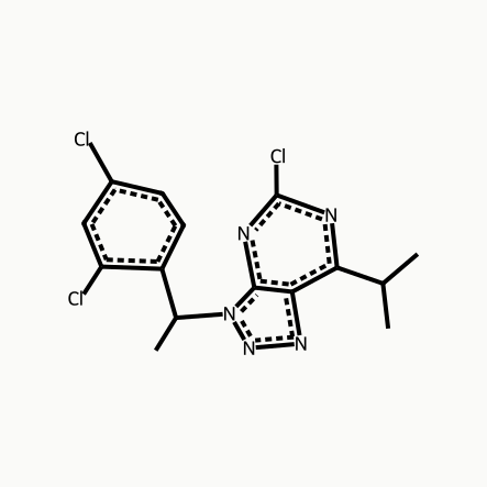 CC(C)c1nc(Cl)nc2c1nnn2C(C)c1ccc(Cl)cc1Cl